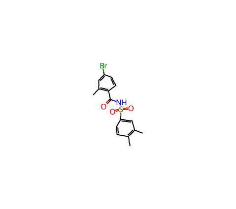 Cc1ccc(S(=O)(=O)NC(=O)c2ccc(Br)cc2C)cc1C